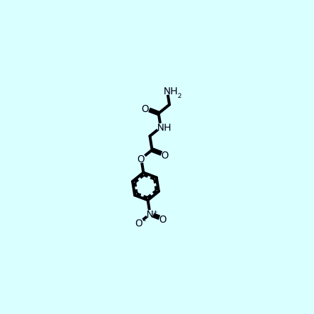 NCC(=O)NCC(=O)Oc1ccc([N+](=O)[O-])cc1